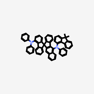 CC1(C)c2ccccc2-c2c(N(c3ccccc3)c3c4c(cc5ccccc35)C3(c5ccccc5-c5c(N(c6ccccc6)c6ccccc6)cccc53)c3ccccc3-4)cccc21